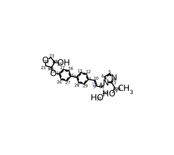 C[C@H](O)c1nccn1[C@@H](/C=C/c1ccc(-c2ccc(O[C@H]3COC[C@@H]3O)cc2)cc1)CO